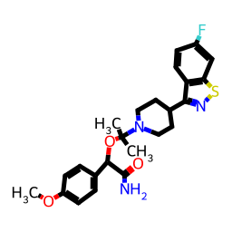 COc1ccc(C(OC(C)(C)N2CCC(c3nsc4cc(F)ccc34)CC2)C(N)=O)cc1